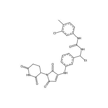 CCC(NC(=O)Nc1ccc(C)c(Cl)c1)c1cccc(NC2=CC(=O)N(C3CCC(=O)NC3=O)C2=O)c1